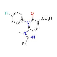 CCc1nc2cc(C(=O)O)c(=O)n(-c3ccc(F)cc3)c2n1C